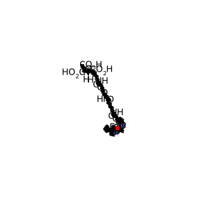 Cn1c(/C=C\c2ccc(OCC(=O)NCCCCCC(=O)NCCOCCOCC(=O)NCCCC[C@H](NC(=O)N[C@@H](CCC(=O)O)C(=O)O)C(=O)O)cc2)ccc1/C=C1/C=CC(c2ccc[nH]2)=[N+]1B(F)F